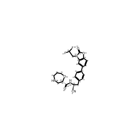 N#C[C@H](Cc1ccc(-c2ccc3oc(=O)n(CC(F)F)c3c2)cc1)NC(=O)[C@@H]1CNCCCO1